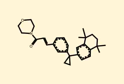 CC1(C)CCC(C)(C)c2cc(C3(c4cccc(C=CC(=O)N5CCOCC5)c4)CC3)ccc21